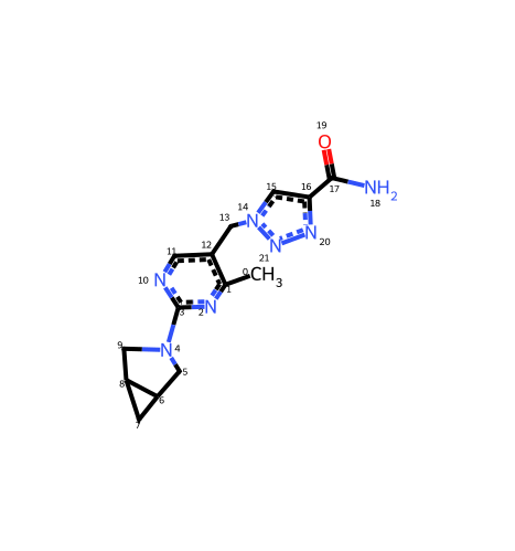 Cc1nc(N2CC3CC3C2)ncc1Cn1cc(C(N)=O)nn1